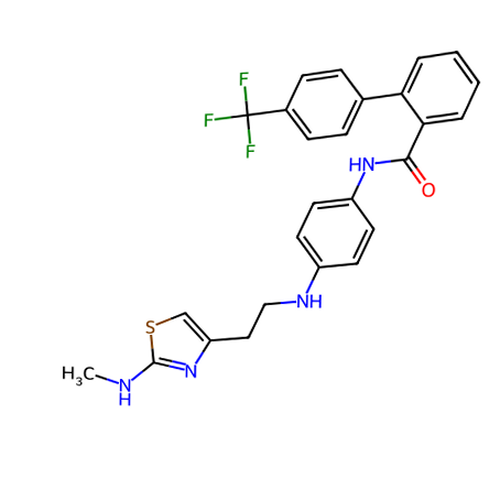 CNc1nc(CCNc2ccc(NC(=O)c3ccccc3-c3ccc(C(F)(F)F)cc3)cc2)cs1